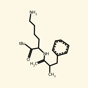 C=C(NC(CCCCN)C(=O)C(C)(C)C)C(C)Cc1ccccc1